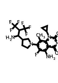 Cc1c(N2CCC(C(N)C(C(F)(F)F)C(F)(F)F)C2)c(F)c(N)c2c(=O)[nH]c(=O)n(C3CC3)c12